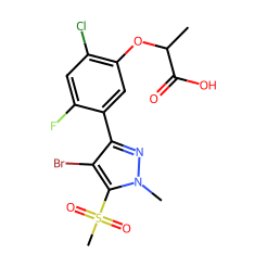 CC(Oc1cc(-c2nn(C)c(S(C)(=O)=O)c2Br)c(F)cc1Cl)C(=O)O